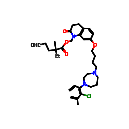 C=C/C(=C(/Cl)C(=C)C)N1CCCN(CCCCOc2ccc3c(c2)N(COC(=O)C(C)(CC)CCC=O)C(=O)CC3)CC1